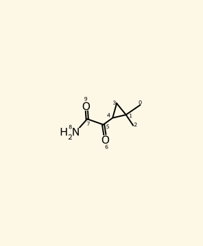 CC1(C)CC1C(=O)C(N)=O